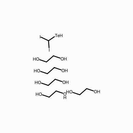 OCCO.OCCO.OCCO.OCCO.OCCO.[TeH]C(I)I